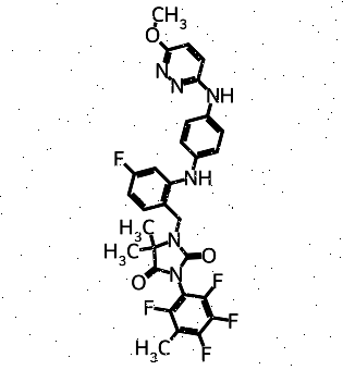 COc1ccc(Nc2ccc(Nc3cc(F)ccc3CN3C(=O)N(c4c(F)c(C)c(F)c(F)c4F)C(=O)C3(C)C)cc2)nn1